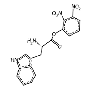 N[C@@H](Cc1c[nH]c2ccccc12)C(=O)Oc1cccc([N+](=O)[O-])c1[N+](=O)[O-]